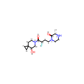 C[C@@H]1NCCN(CC[C@@H](F)C(=O)N2CCC3(CC3)[C@H](O)C2)C1=O